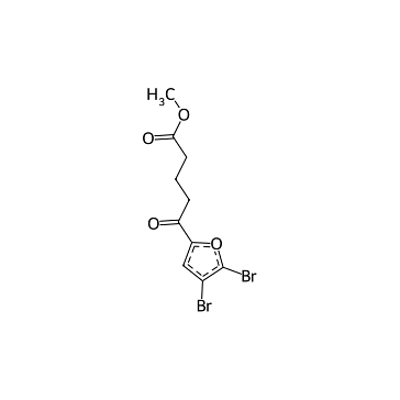 COC(=O)CCCC(=O)c1cc(Br)c(Br)o1